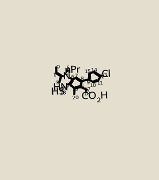 C/C=C(/C)N(CCC)c1cc(-c2ccc(Cl)cc2)c(CC(=O)O)c(C)c1NS